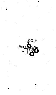 CC(C)(C)OC(=O)NC1CC(CC(=O)O)CCC1O[Si](c1ccccc1)(c1ccccc1)C(C)(C)C